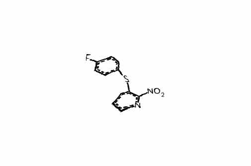 O=[N+]([O-])c1ncccc1Sc1ccc(F)cc1